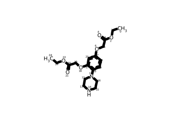 CCOC(=O)COc1ccc(N2CCNCC2)c(OCC(=O)OCC)c1